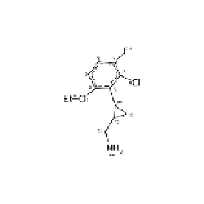 CCOc1ccc(F)c(Cl)c1C1CC1CN